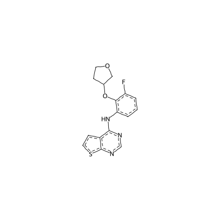 Fc1cccc(Nc2ncnc3sccc23)c1OC1CCOC1